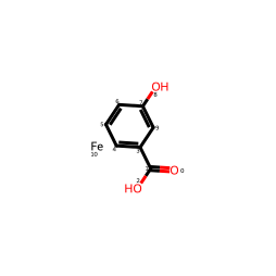 O=C(O)c1cccc(O)c1.[Fe]